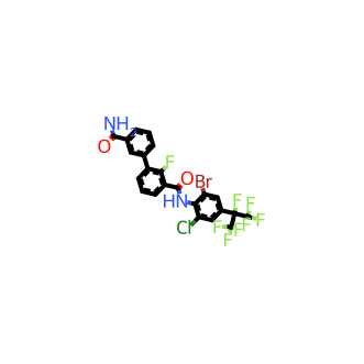 NC(=O)c1cccc(-c2cccc(C(=O)Nc3c(Cl)cc(C(F)(C(F)(F)F)C(F)(F)F)cc3Br)c2F)c1